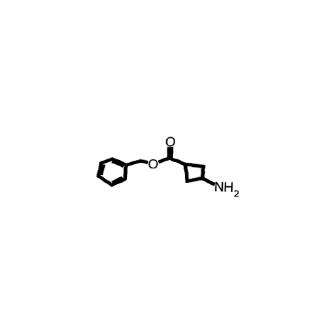 NC1CC(C(=O)OCc2ccccc2)C1